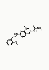 COc1ccccc1CCNc1ncc(/C=N/NC(N)=S)c(N(C)C)n1